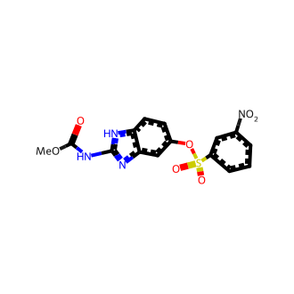 COC(=O)Nc1nc2cc(OS(=O)(=O)c3cccc([N+](=O)[O-])c3)ccc2[nH]1